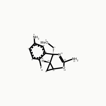 COC[C@]1(c2cc(N)ccc2F)N=C(N)OC2C[C@@H]21